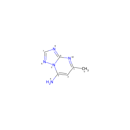 Cc1cc(N)n2ncnc2n1